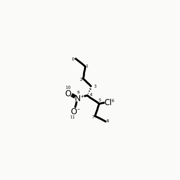 CCCC[C@H](C(Cl)CC)[N+](=O)[O-]